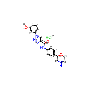 COc1cccc(-n2cc(C(=O)Nc3ccc(C4CNCCO4)cc3)nn2)c1.Cl